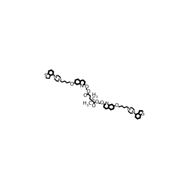 CC(C)(CCC(=O)OCOc1ccc2ccc(OCCCCN3CCN(c4cccc5c4CCS5)CC3)cc2n1)C(=O)OCOc1ccc2ccc(OCCCCN3CCN(c4cccc5sccc45)CC3)cc2n1